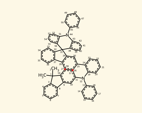 CC1(C)c2ccccc2-c2cc(N(c3ccccc3)c3ccccc3-c3ccc4c(c3)C3(c5ccccc5-4)c4ccccc4N(c4ccccc4)c4ccccc43)ccc21